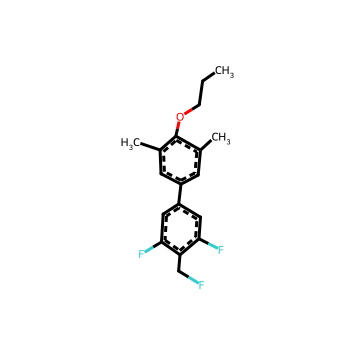 CCCOc1c(C)cc(-c2cc(F)c(CF)c(F)c2)cc1C